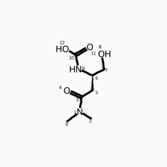 CN(C)C(=O)C[C@H](CO)NC(=O)O